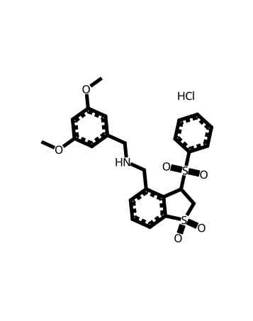 COc1cc(CNCc2cccc3c2C(S(=O)(=O)c2ccccc2)CS3(=O)=O)cc(OC)c1.Cl